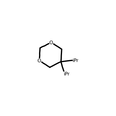 CC(C)C1(C(C)C)COCOC1